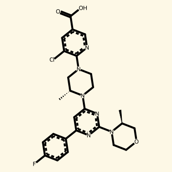 C[C@@H]1CN(c2ncc(C(=O)O)cc2Cl)CCN1c1cc(-c2ccc(F)cc2)nc(N2CCOC[C@@H]2C)n1